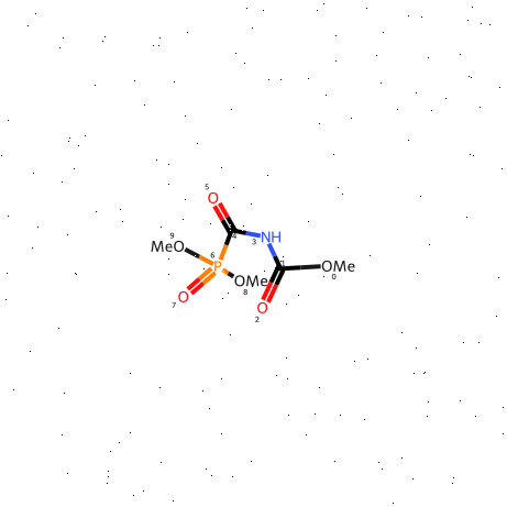 COC(=O)NC(=O)P(=O)(OC)OC